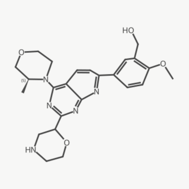 COc1ccc(-c2ccc3c(N4CCOC[C@@H]4C)nc(C4CNCCO4)nc3n2)cc1CO